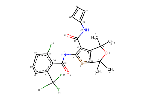 CC1(C)OC(C)(C)c2c1sc(NC(=O)c1c(F)cccc1C(F)(F)F)c2C(=O)NC1=CC=C1